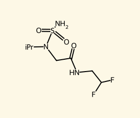 CC(C)N(CC(=O)NCC(F)F)S(N)(=O)=O